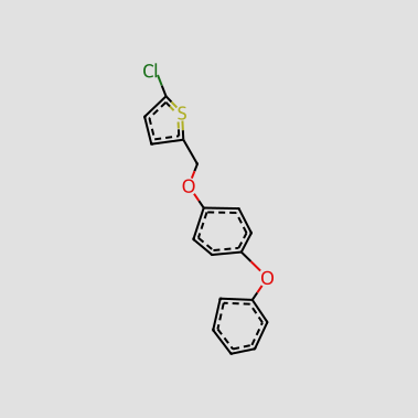 Clc1ccc(COc2ccc(Oc3ccccc3)cc2)s1